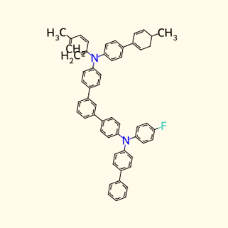 C=C(C)/C=C\C(=C)N(c1ccc(C2=CCC(C)C=C2)cc1)c1ccc(-c2cccc(-c3ccc(N(c4ccc(F)cc4)c4ccc(-c5ccccc5)cc4)cc3)c2)cc1